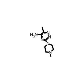 Cc1nnc(N2CCN(C)CC2)nc1N